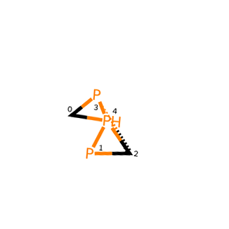 C12[P@]3C4[P@]1[PH]243